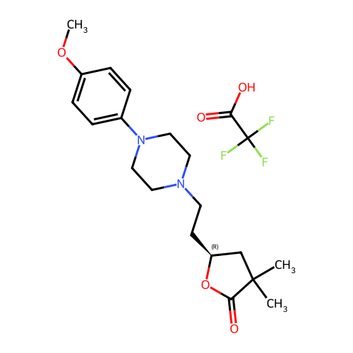 COc1ccc(N2CCN(CC[C@H]3CC(C)(C)C(=O)O3)CC2)cc1.O=C(O)C(F)(F)F